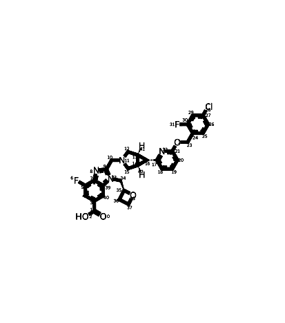 O=C(O)c1cc(F)c2nc(CN3C[C@@H]4[C@H](C3)[C@H]4c3cccc(OCc4ccc(Cl)cc4F)n3)n(C[C@@H]3CCO3)c2c1